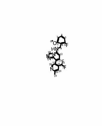 COc1cccc(F)c1CNc1ccc(-c2cnc(C)cc2C(F)F)c2nncn12